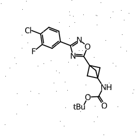 CC(C)(C)OC(=O)NC12CC(c3nc(-c4ccc(Cl)c(F)c4)no3)(C1)C2